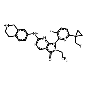 O=c1c2cnc(Nc3ccc4c(c3)CNCC4)nc2n(-c2nc(C3(CF)CC3)ccc2F)n1CC(F)(F)F